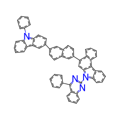 c1ccc(-c2nc(-n3c4ccccc4c4c5ccccc5c(-c5ccc6cc(-c7ccc8c(c7)c7ccccc7n8-c7ccccc7)ccc6c5)cc43)nc3ccccc23)cc1